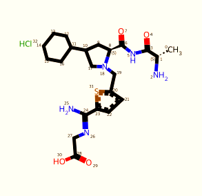 C[C@H](N)C(=O)NC(=O)[C@@H]1CC(C2CCCCC2)CN1Cc1ccc(C(N)=NCC(=O)O)s1.Cl